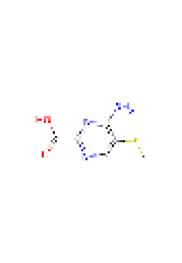 CSc1cnc(C(=O)O)nc1N